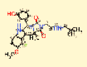 COc1ccc2[nH]c3c(c2c1F)C[C@@]1(C)C(=O)N(CCCNCC(C)C)C(=O)N1[C@@H]3c1cccc(O)c1